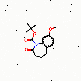 COc1ccc2c(c1)N(C(=O)OC(C)(C)C)C(=O)CCC2